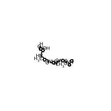 C[C@H](Cc1cccc(CC(=O)NCc2ccc(N(C)C(=O)CCN3CCC(OC(=O)Nc4ccccc4-c4ccccc4)CC3)cc2)c1)NCCc1ccc(O)c2[nH]c(=O)ccc12